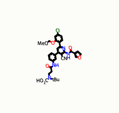 COCOc1cc(Cl)ccc1-c1cc(-c2cccc(NC(=O)CCN(C(=O)O)C(C)(C)C)c2)c(C#N)c(NC(=O)c2ccoc2)n1